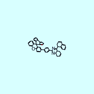 C1=Cc2ccccc2C(C2=NC(c3ccc(-c4ccc5c(c4)C4(c6ccccc6O5)c5ccccc5-c5ccccc54)cc3)=NC3CC=CCC23)C1